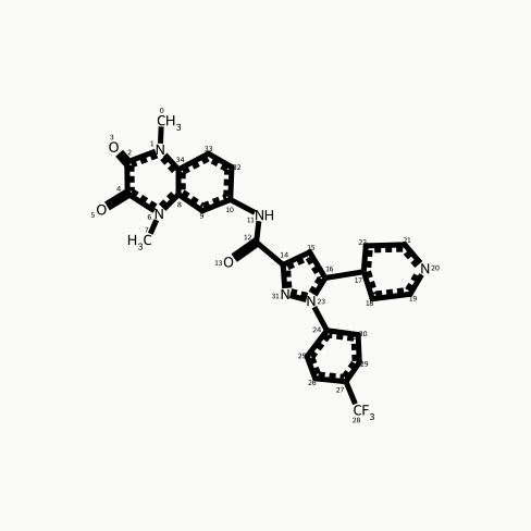 Cn1c(=O)c(=O)n(C)c2cc(NC(=O)c3cc(-c4ccncc4)n(-c4ccc(C(F)(F)F)cc4)n3)ccc21